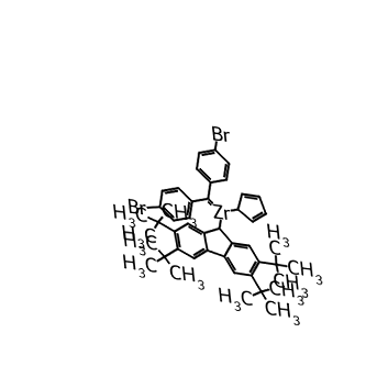 CC(C)(C)c1cc2c(cc1C(C)(C)C)[CH]([Zr](=[C](c1ccc(Br)cc1)c1ccc(Br)cc1)[CH]1C=CC=C1)c1cc(C(C)(C)C)c(C(C)(C)C)cc1-2